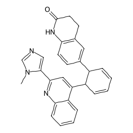 Cn1cncc1-c1cc(C2C=CC=CC2c2ccc3c(c2)CCC(=O)N3)c2ccccc2n1